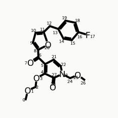 COCOc1c(C(=O)c2ccc(Cc3ccc(F)cc3)o2)ccn(COC)c1=O